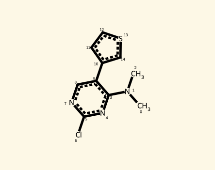 CN(C)c1nc(Cl)ncc1-c1ccsc1